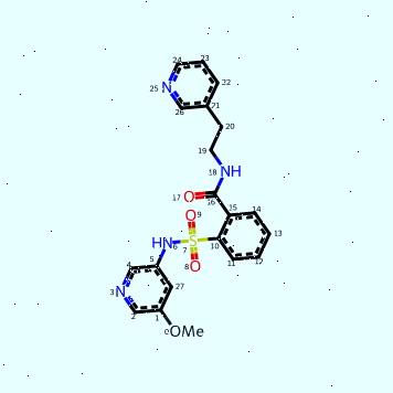 COc1cncc(NS(=O)(=O)c2ccccc2C(=O)NCCc2cccnc2)c1